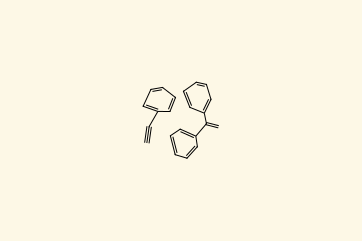 C#Cc1ccccc1.C=C(c1ccccc1)c1ccccc1